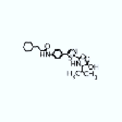 CC(C)C(NC(=O)c1ncc(-c2ccc(NC(=O)CCC3CCCCC3)cc2)s1)C(=O)O